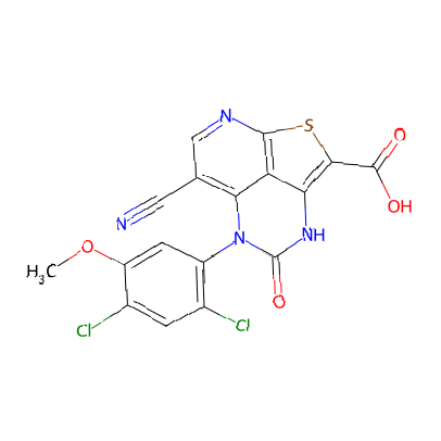 COc1cc(N2C(=O)Nc3c(C(=O)O)sc4ncc(C#N)c2c34)c(Cl)cc1Cl